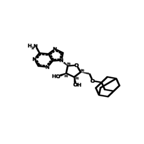 Nc1ncnc2c1ncn2[C@@H]1O[C@H](COC23CC4CC(CC(C4)C2)C3)[C@@H](O)[C@H]1O